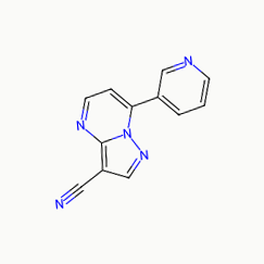 N#Cc1cnn2c(-c3cccnc3)ccnc12